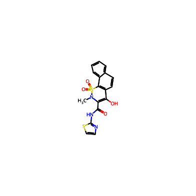 CN1C(C(=O)Nc2nccs2)=C(O)c2ccc3ccccc3c2S1(=O)=O